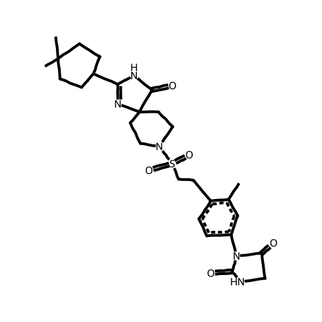 Cc1cc(N2C(=O)CNC2=O)ccc1CCS(=O)(=O)N1CCC2(CC1)N=C(C1CCC(C)(C)CC1)NC2=O